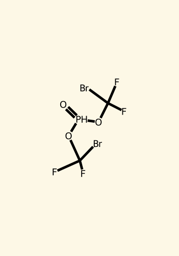 O=[PH](OC(F)(F)Br)OC(F)(F)Br